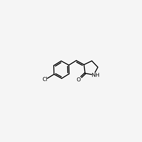 O=C1NCCC1=Cc1ccc(Cl)cc1